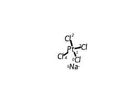 [Cl][Pt]([Cl])([Cl])[Cl].[Na]